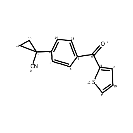 N#CC1(c2ccc(C(=O)c3cccs3)cc2)CC1